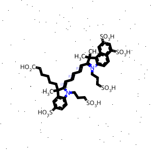 CC1(C)C(/C=C/C=C/C=C2\N(CCCS(=O)(=O)O)c3ccc(S(=O)(=O)O)cc3C2(C)CCCCCC(=O)O)=[N+](CCCS(=O)(=O)O)c2ccc3c(S(=O)(=O)O)cc(S(=O)(=O)O)cc3c21